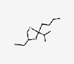 CCCCC1(C(C)C)OCC(CS)O1